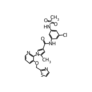 Cc1cc(C(=O)Nc2cc(Cl)cc(NS(C)(=O)=O)c2)cn1-c1ncccc1OCc1nccs1